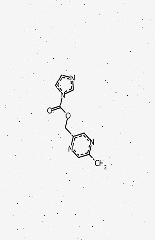 Cc1cnc(COC(=O)n2ccnc2)cn1